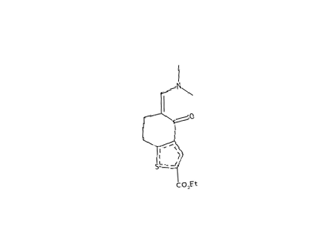 CCOC(=O)c1cc2c(s1)CCC(=CN(C)C)C2=O